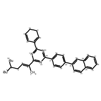 CCC(C)C(C/C=C(\C)c1nc(C2=CCCC=C2)nc(-c2ccc(-c3ccc4ccccc4c3)cc2)n1)C(C)CC